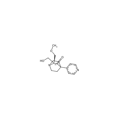 COC[C@@]1(CO)C(=O)C2(c3ccncc3)CCN1CC2